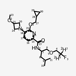 [2H]C([2H])(F)COCC(CC(C)C)NC(=O)c1ccc(N2CC(OC)C2)c(OCC2CC2)n1